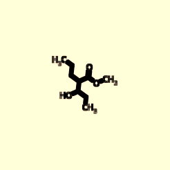 CCCC(C(=O)OC)C(O)CC